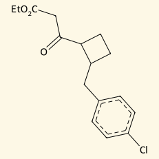 CCOC(=O)CC(=O)C1CCC1Cc1ccc(Cl)cc1